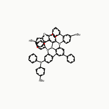 CCCCc1ccc(N2B3c4c(cc(-c5ccccc5)cc4N(c4ccc(CCCC)cc4-c4ccccc4)c4ccc5oc6ccccc6c5c43)-c3ccc(N(c4ccccc4)c4ccc(CCCC)cc4)cc32)cc1